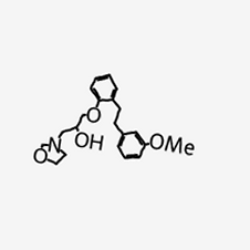 COc1cccc(CCc2ccccc2OCC(O)CN2CCOC2)c1